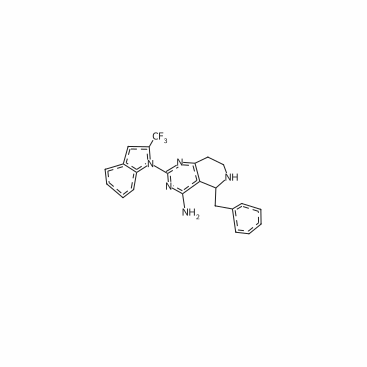 Nc1nc(-n2c(C(F)(F)F)cc3ccccc32)nc2c1C(Cc1ccccc1)NCC2